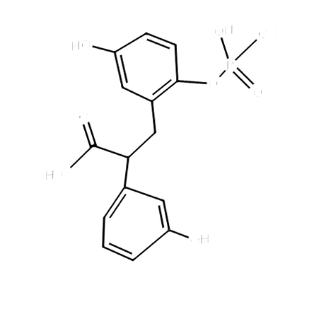 CC(=O)C(Cc1cc(O)ccc1OP(=O)(O)O)c1cccc(O)c1